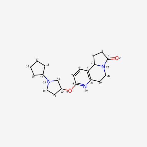 O=C1CCC2c3ccc(OC4CCN(C5CCCC5)C4)nc3CCN12